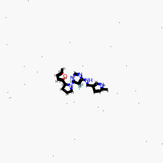 Cc1ccc(CNc2ncnc(N3CCCC3c3ccc(C)o3)c2F)cn1